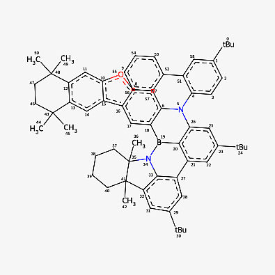 CC(C)(C)c1ccc(N2c3cc4oc5cc6c(cc5c4cc3B3c4c(cc(C(C)(C)C)cc42)-c2cc(C(C)(C)C)cc4c2N3C2(C)CCCCC42C)C(C)(C)CCC6(C)C)c(-c2ccccc2)c1